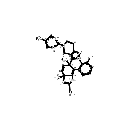 CCc1cccc2c1-n1nc3c(c1C1(C)C=CC4(C)N=C(C)NC4=C21)CN(c1ncc(C(F)(F)F)cn1)CC3